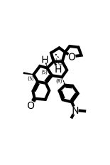 C[C@H]1C[C@@H]2C(=C3CCC(=O)C=C31)[C@@H](c1ccc(N(C)C)cc1)C[C@@]1(C)[C@H]2CCC12CCCO2